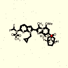 COc1cc(C(=O)N2[C@@H]3CC[C@@H](N)[C@H]2CC3)cc2nc(-c3cc4ccc(N(C(F)F)S(C)(=O)=O)nc4n3CC3CC3)c(C)n12